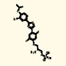 CC(C)Oc1ccc(-c2nnc(-c3cc(F)c(OC[C@@H](N)COP(=O)(O)O)cc3Cl)s2)cc1Br